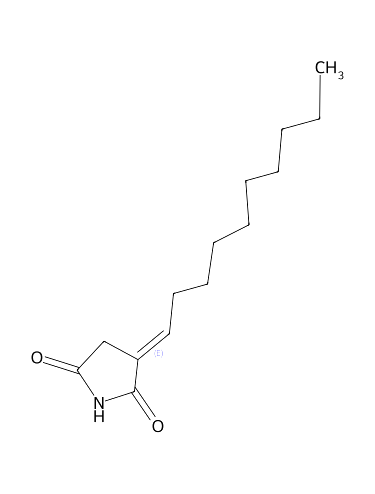 CCCCCCCCC/C=C1\CC(=O)NC1=O